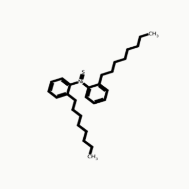 CCCCCCCCc1cccc[c]1[Ni](=[S])[c]1ccccc1CCCCCCCC